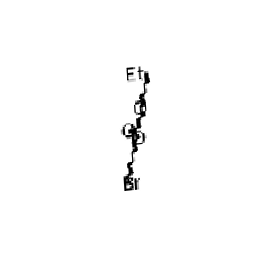 CC/C=C\CCCCOCCCC(=O)OCCCCCCCBr